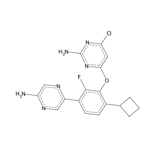 Nc1cnc(-c2ccc(C3CCC3)c(Oc3cc(Cl)nc(N)n3)c2F)cn1